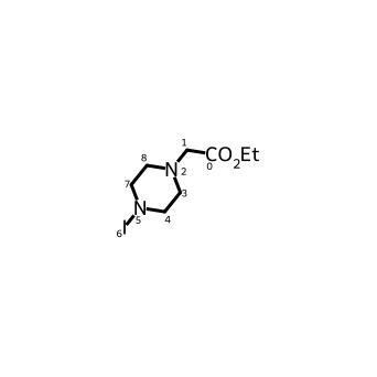 CCOC(=O)CN1CCN(I)CC1